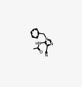 CC(=O)Nc1c(C#N)ncn1Cc1ccccc1